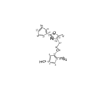 CCCCc1ccc(O)cc1OCCc1nc(-c2ccccc2)oc1C